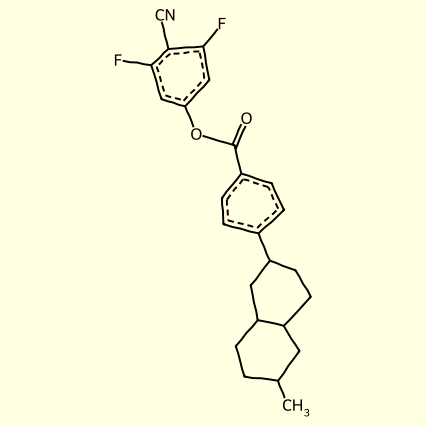 CC1CCC2CC(c3ccc(C(=O)Oc4cc(F)c(C#N)c(F)c4)cc3)CCC2C1